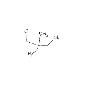 CCC(C)(C)[CH]Cl